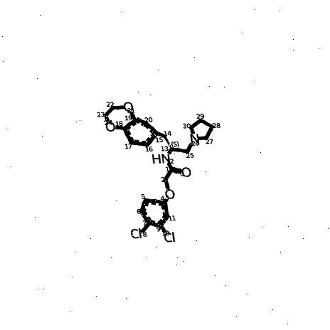 O=C(COc1ccc(Cl)c(Cl)c1)N[C@@H](Cc1ccc2c(c1)OCCO2)CN1CCCC1